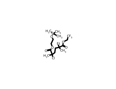 CCC(C)(CCC(C)(Cl)C(=O)OCCO[Si](C)(C)C)C(=O)OCC(F)(F)F